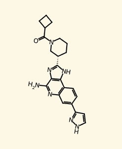 Nc1nc2cc(-c3cc[nH]n3)ccc2c2[nH]c([C@H]3CCCN(C(=O)C4CCC4)C3)nc12